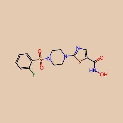 O=C(NO)c1cnc(N2CCN(S(=O)(=O)c3ccccc3F)CC2)s1